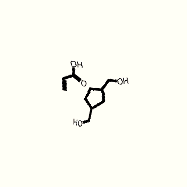 C=CC(=O)O.OCC1CCC(CO)C1